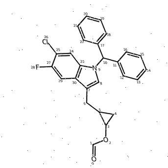 O=COC1CC1Cc1cn(C(c2ccccc2)c2ccccc2)c2cc(Cl)c(F)cc12